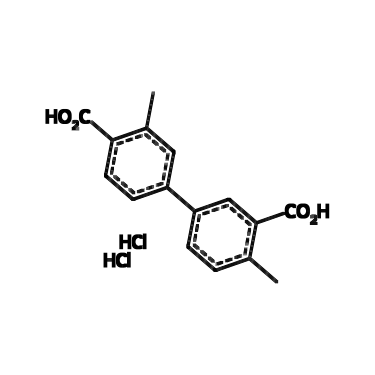 Cc1cc(-c2ccc(C)c(C(=O)O)c2)ccc1C(=O)O.Cl.Cl